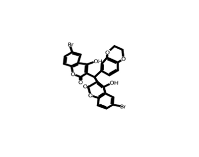 O=c1oc2ccc(Br)cc2c(O)c1C(c1ccc2c(c1)OCCO2)c1c(O)c2cc(Br)ccc2oc1=O